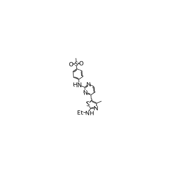 CCNc1nc(C)c(-c2ccnc(Nc3ccc(S(C)(=O)=O)cc3)n2)s1